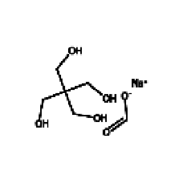 O=C[O-].OCC(CO)(CO)CO.[Na+]